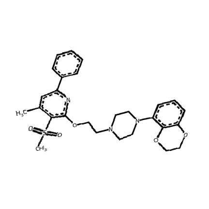 Cc1cc(-c2ccccc2)nc(OCCN2CCN(c3cccc4c3OCCO4)CC2)c1S(C)(=O)=O